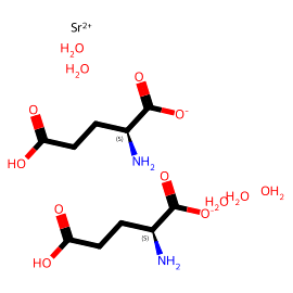 N[C@@H](CCC(=O)O)C(=O)[O-].N[C@@H](CCC(=O)O)C(=O)[O-].O.O.O.O.O.[Sr+2]